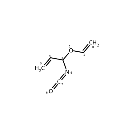 C=COC(C=C)N=C=O